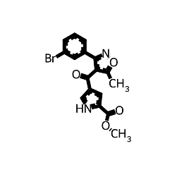 COC(=O)c1cc(C(=O)c2c(-c3cccc(Br)c3)noc2C)c[nH]1